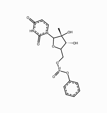 C[C@]1(O)C(n2ccc(=O)[nH]c2=O)OC(CO[PH](=O)Oc2ccccc2)[C@H]1O